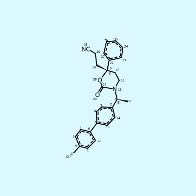 C[C@@H](c1ccc(-c2ccc(F)cc2)cc1)N1CC[C@@](CCC#N)(c2ccccc2)OC1=O